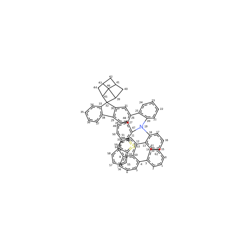 c1ccc(-c2cccc3cccc(-c4ccccc4N(c4ccccc4-c4ccc5c(c4)C4(c6ccccc6-5)C5CC6CC7CC4C675)c4cccc5c4sc4ccccc45)c23)cc1